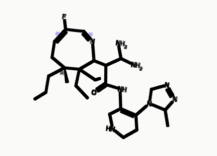 CCC[C@]1(C)C/C=C(F)\C=N/C(C(C(=O)NC2=C(N3CN=NC3C)CCNC2)C(N)N)C1(CC)CC